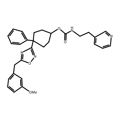 COc1cccc(Cc2nc(C3(c4ccccc4)CCC(OC(=O)NCCc4cccnc4)CC3)no2)c1